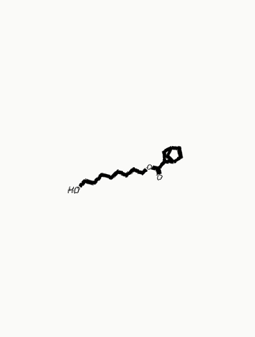 O=C(OCCCCCCCCO)C1CC2C=CC1C2